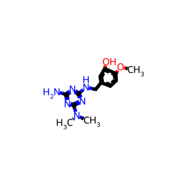 COc1ccc(CNc2nc(N)nc(N(C)C)n2)cc1O